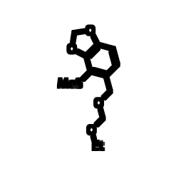 CCOCOCc1ccc2c(c1SC)OCO2